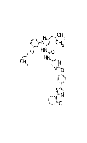 CCCCOc1cccc(-n2nc(CC(C)C)cc2NC(=O)Nc2cnc(Oc3ccc(-c4cnc(N5CCCCC5=O)s4)cc3)nc2)c1